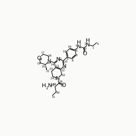 CCNC(=O)Nc1ccc(-c2nc3c(c(N4CCOC[C@@H]4C)n2)CCN(C(=O)[C@@H](N)CC)C3)cc1